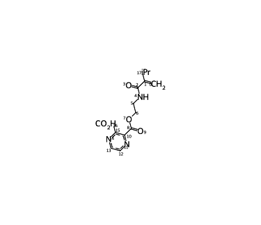 C=C(C(=O)NCCOC(=O)c1nccnc1C(=O)O)C(C)C